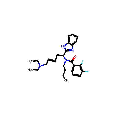 CCCCN(C(=O)c1cccc(F)c1F)C(CC=CCN(CC)CC)c1nc2ccccc2[nH]1